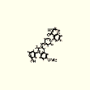 COc1ccc2c(c1)CN(CC1CCN(c3nccc4nc[nH]c(=O)c34)CC1)C(=O)N2c1ccnc(C#N)c1